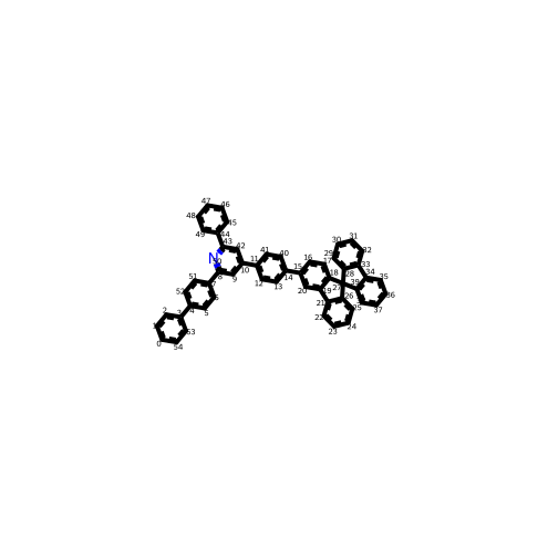 c1ccc(-c2ccc(-c3cc(-c4ccc(-c5ccc6c(c5)-c5ccccc5C65c6ccccc6-c6ccccc65)cc4)cc(-c4ccccc4)n3)cc2)cc1